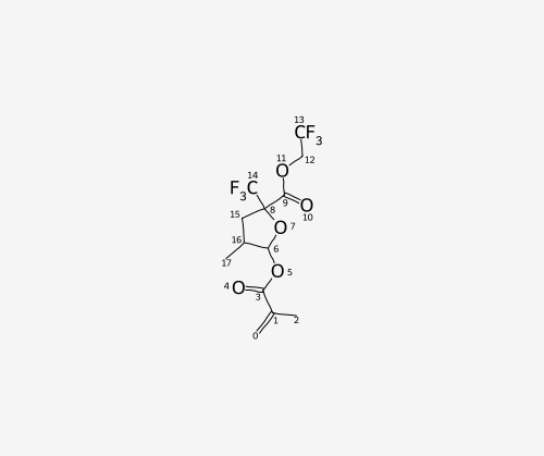 C=C(C)C(=O)OC1OC(C(=O)OCC(F)(F)F)(C(F)(F)F)CC1C